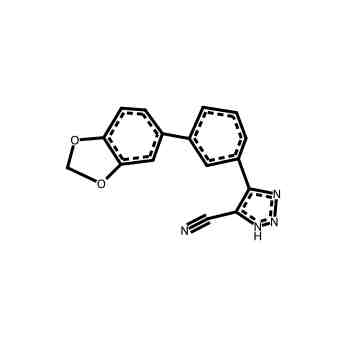 N#Cc1[nH]nnc1-c1cccc(-c2ccc3c(c2)OCO3)c1